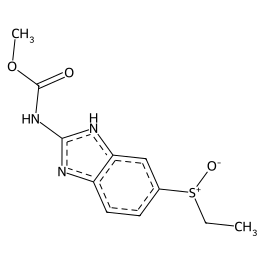 CC[S+]([O-])c1ccc2nc(NC(=O)OC)[nH]c2c1